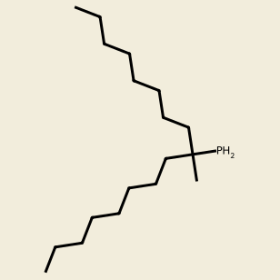 CCCCCCCCC(C)(P)CCCCCCCC